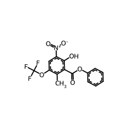 Cc1c(OC(F)(F)F)cc([N+](=O)[O-])c(O)c1C(=O)Oc1ccccc1